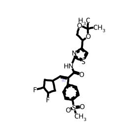 CC1(C)OCC(c2csc(NC(=O)/C(=C/C3CC(F)C(F)C3)c3ccc(S(C)(=O)=O)cc3)n2)O1